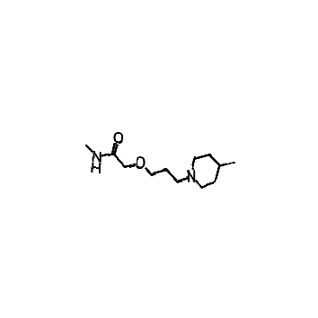 CNC(=O)COCCCN1CCC(C)CC1